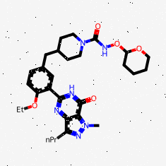 CCCc1nn(C)c2c(=O)[nH]c(-c3cc(CC4CCN(C(=O)NOC5CCCCO5)CC4)ccc3OCC)nc12